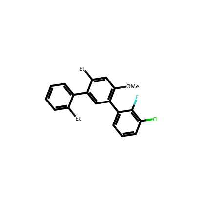 CCc1ccccc1-c1cc(-c2cccc(Cl)c2F)c(OC)cc1CC